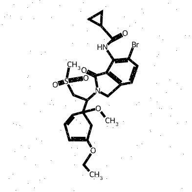 CCOC1=CC=CC(OC)(C(CS(C)(=O)=O)N2Cc3ccc(Br)c(NC(=O)C4CC4)c3C2=O)C1